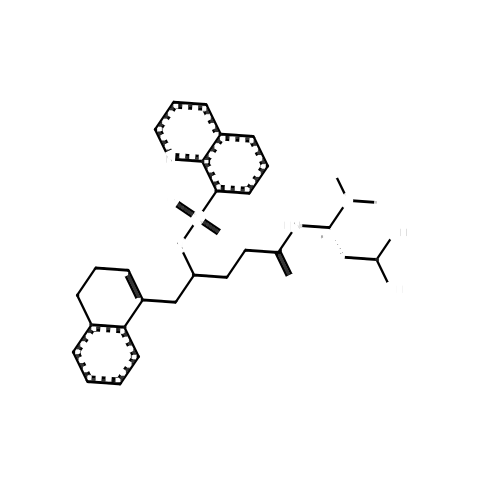 CC(C)C[C@H](NC(=O)CCC(CC1=CCCc2ccccc21)NS(=O)(=O)c1cccc2cccnc12)B(O)O